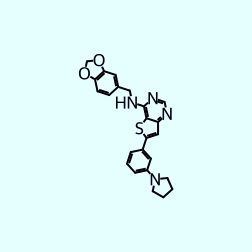 c1cc(-c2cc3ncnc(NCc4ccc5c(c4)OCO5)c3s2)cc(N2CCCC2)c1